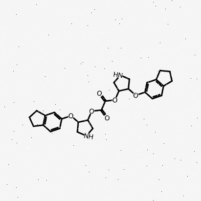 O=C(OC1CNCC1Oc1ccc2c(c1)CCC2)C(=O)OC1CNCC1Oc1ccc2c(c1)CCC2